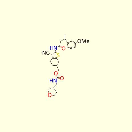 COc1cccc(C(C)CC(=O)Nc2sc3c(c2C#N)CCC(COC(=O)NCC2CCOCC2)C3)c1